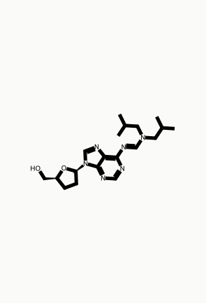 CC(C)CN(C=Nc1ncnc2c1ncn2[C@H]1CC[C@@H](CO)O1)CC(C)C